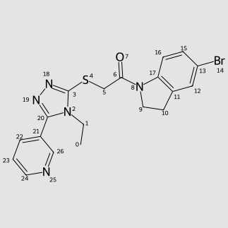 CCn1c(SCC(=O)N2CCc3cc(Br)ccc32)nnc1-c1cccnc1